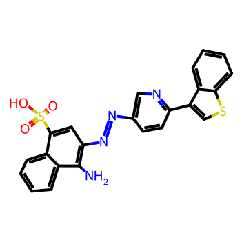 Nc1c(N=Nc2ccc(-c3csc4ccccc34)nc2)cc(S(=O)(=O)O)c2ccccc12